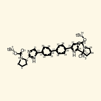 CC(C)(C)OC(=O)N1CCC[C@H]1c1ncc(-c2ccc(-c3ccc(-c4cnc(C5(C)CCCN5C(=O)OC(C)(C)C)[nH]4)cc3)cc2)[nH]1